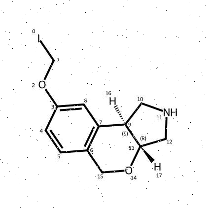 ICOc1ccc2c(c1)[C@H]1CNC[C@@H]1OC2